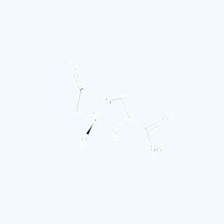 NC(=O)C1CN2C(=O)C[C@H]2S1